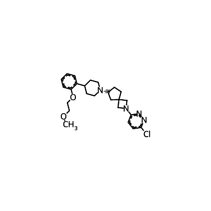 COCCOc1ccccc1C1CCN([C@@H]2CCC3(C2)CN(c2ccc(Cl)nn2)C3)CC1